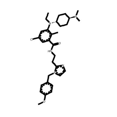 CCN(c1cc(Cl)cc(C(=O)NCCc2nccn2Cc2ccc(OC)cc2)c1C)[C@H]1CC[C@H](N(C)C)CC1